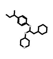 CCC(C)c1ccc(OC(CC2CCCCC2)OC2CCOCC2)cc1